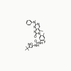 Cc1cc(F)c(NC(=O)Nc2cc(C(C)(C)C)no2)cc1-n1c(C)c2cnc(N(C)c3ccccc3)nc2nc1=O